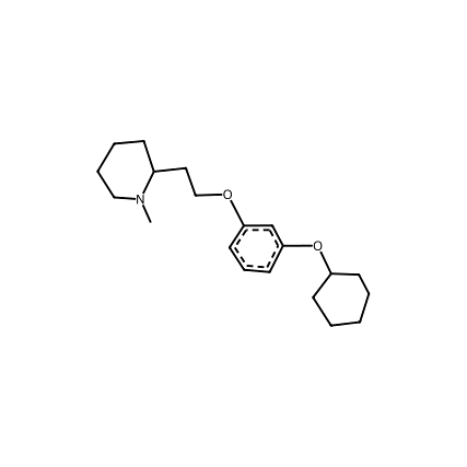 CN1CCCCC1CCOc1cccc(OC2CCCCC2)c1